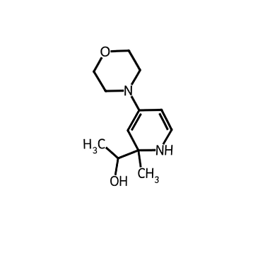 CC(O)C1(C)C=C(N2CCOCC2)C=CN1